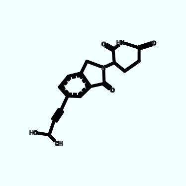 O=C1CCC(N2Cc3ccc(C#CC(O)O)cc3C2=O)C(=O)N1